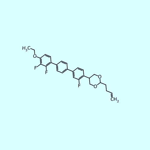 C=CCCC1OCC(c2ccc(-c3ccc(-c4ccc(OCC)c(F)c4F)cc3)cc2F)CO1